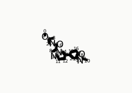 COC1CN(C(=O)c2cnc3ccc(-c4ccc5oc(C)nc5c4)cn23)C1